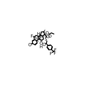 CCC(=O)O[C@]1(C(=O)SCC(=O)c2ccc(C(F)(F)F)cc2)[C@H](C)C[C@H]2[C@@H]3C[C@H](F)C4=CC(=O)C=C[C@]4(C)[C@@]3(F)[C@@H](O)C[C@@]21C